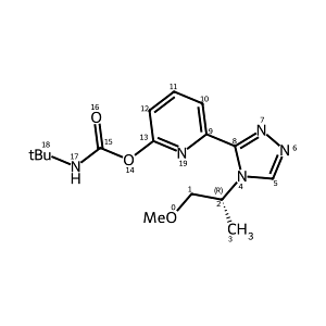 COC[C@@H](C)n1cnnc1-c1cccc(OC(=O)NC(C)(C)C)n1